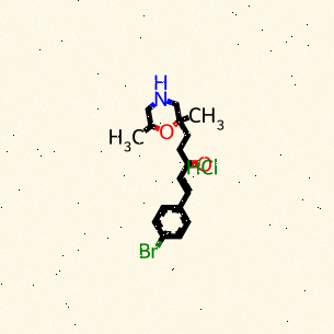 CC1CNCC(C)(CCC(=O)C=Cc2ccc(Br)cc2)O1.Cl